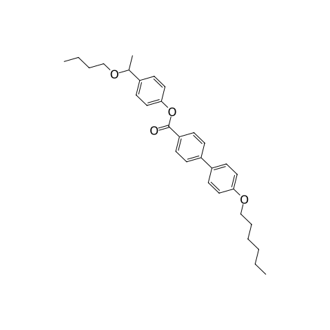 CCCCCCOc1ccc(-c2ccc(C(=O)Oc3ccc(C(C)OCCCC)cc3)cc2)cc1